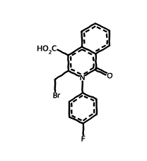 O=C(O)c1c(CBr)n(-c2ccc(F)cc2)c(=O)c2ccccc12